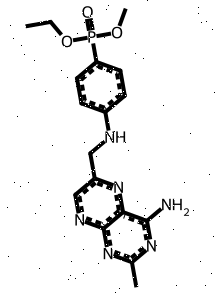 CCOP(=O)(OC)c1ccc(NCc2cnc3nc(C)nc(N)c3n2)cc1